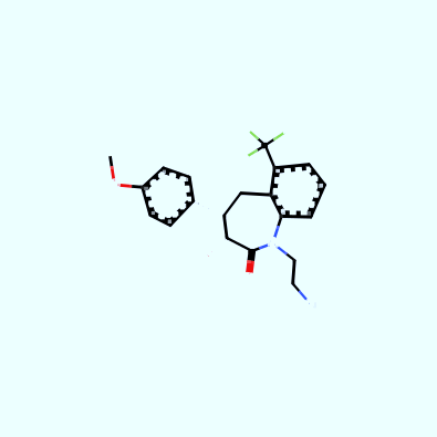 COc1ccc([C@@H]2Cc3c(cccc3C(F)(F)F)N(CCN)C(=O)[C@@H]2O)cc1